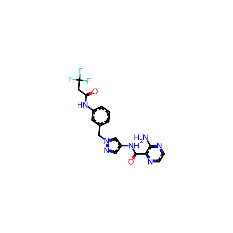 Nc1nccnc1C(=O)Nc1cnn(Cc2cccc(NC(=O)CC(F)(F)F)c2)c1